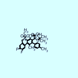 Cc1ccc(-c2c(C)c3c(c(C)c2[C@H](OC(C)(C)C)C(=O)O)N(S(C)(=O)=O)Cc2cc(F)c(F)cc2-3)cc1